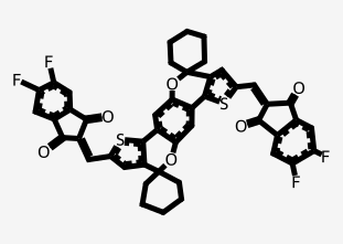 O=C1C(=Cc2cc3c(s2)-c2cc4c(cc2OC32CCCCC2)-c2sc(C=C3C(=O)c5cc(F)c(F)cc5C3=O)cc2C2(CCCCC2)O4)C(=O)c2cc(F)c(F)cc21